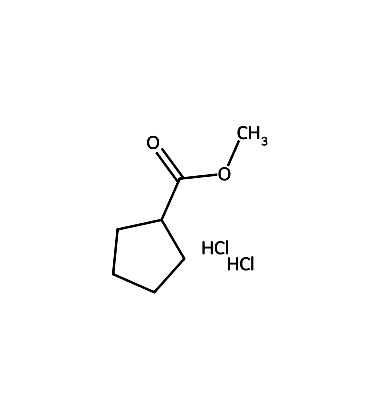 COC(=O)C1CCCC1.Cl.Cl